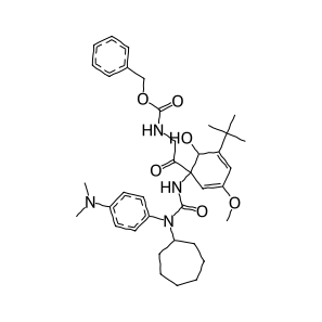 COC1=CC(NC(=O)N(c2ccc(N(C)C)cc2)C2CCCCCC2)(C(=O)CNC(=O)OCc2ccccc2)C(O)C(C(C)(C)C)=C1